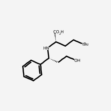 CC(C)(C)CC[C@H](N[C@H](CCO)c1ccccc1)C(=O)O